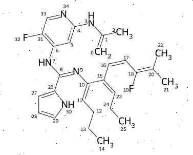 C=C(C)Nc1cc(N/C(=N/C(=C/CCC)C(/C=C\C(F)=C(C)C)=C\CC)c2ccc[nH]2)c(F)cn1